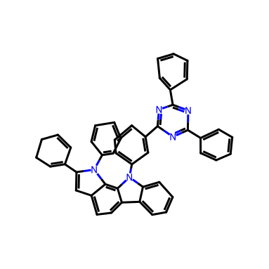 C1=CC(c2cc3ccc4c5ccccc5n(-c5cccc(-c6nc(-c7ccccc7)nc(-c7ccccc7)n6)c5)c4c3n2-c2ccccc2)=CCC1